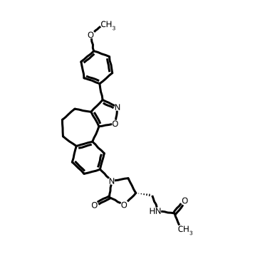 COc1ccc(-c2noc3c2CCCc2ccc(N4C[C@H](CNC(C)=O)OC4=O)cc2-3)cc1